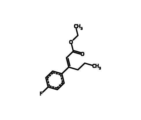 CCCC(=CC(=O)OCC)c1ccc(F)cc1